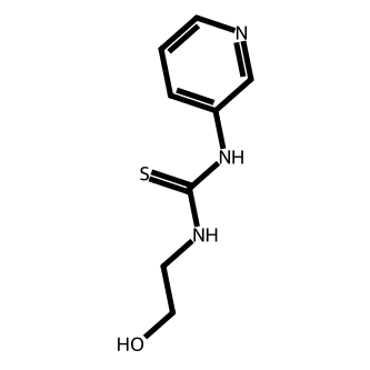 OCCNC(=S)Nc1cccnc1